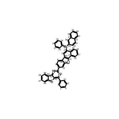 c1ccc(-c2nc(-c3ccc4c(c3)oc3c5ccccc5c(N(c5ccccc5)c5ccc6ccccc6c5)cc43)nc3c2sc2ccccc23)cc1